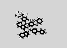 Cc1cc(C(C)(C)C)ccc1N1c2cc3c(cc2B2c4c(cc5ccccc5c41)-c1c(ccc4ccccc14)N2c1ccc(-c2ccccc2)cc1)Oc1ccccc1O3